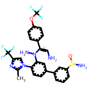 Cc1nc(C(F)(F)F)cn1-c1ccc(-c2cccc([S+](N)[O-])c2)cc1N(N)/C(=C\N)c1ccc(OC(F)(F)F)cc1